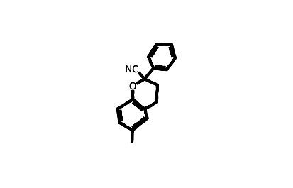 Cc1ccc2c(c1)CCC(C#N)(c1ccccc1)O2